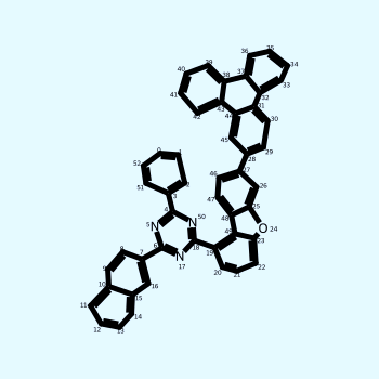 c1ccc(-c2nc(-c3ccc4ccccc4c3)nc(-c3cccc4oc5cc(-c6ccc7c8ccccc8c8ccccc8c7c6)ccc5c34)n2)cc1